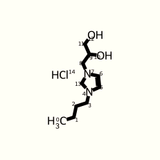 CCCCN1C=CN(CC(O)CO)C1.Cl